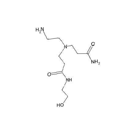 NCCN(CCC(N)=O)CCC(=O)NCCO